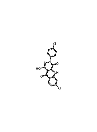 O=c1c2ccc(Cl)cc2[nH]c2c(=O)n(-c3ccc(Cl)cc3)nc(O)c12